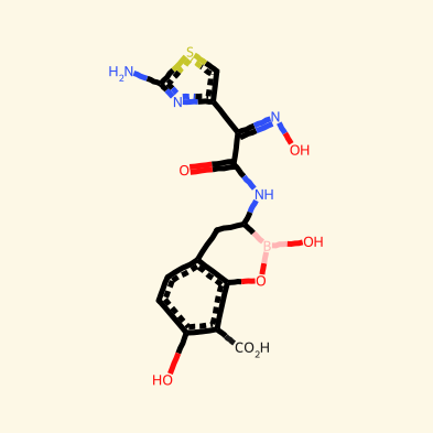 Nc1nc(C(=NO)C(=O)NC2Cc3ccc(O)c(C(=O)O)c3OB2O)cs1